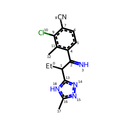 CCC(C(=N)c1ccc(C#N)c(Cl)c1C)c1nnc(C)[nH]1